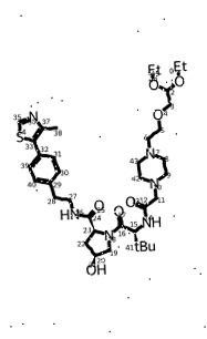 CCOC(COCCN1CCN(CC(=O)N[C@H](C(=O)N2C[C@@H](O)C[C@H]2C(=O)NCCc2ccc(-c3scnc3C)cc2)C(C)(C)C)CC1)OCC